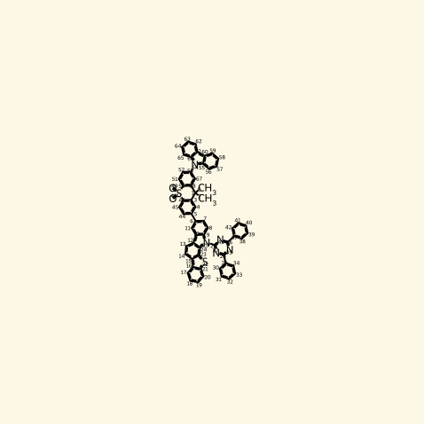 CC1(C)c2cc(-c3ccc4c(c3)c3ccc5c6ccccc6sc5c3n4-c3nc(-c4ccccc4)nc(-c4ccccc4)n3)ccc2S(=O)(=O)c2ccc(-n3c4ccccc4c4ccccc43)cc21